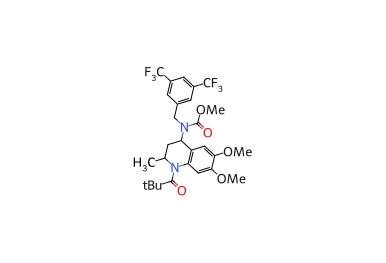 COC(=O)N(Cc1cc(C(F)(F)F)cc(C(F)(F)F)c1)C1CC(C)N(C(=O)C(C)(C)C)c2cc(OC)c(OC)cc21